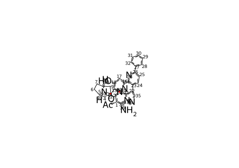 CC(=O)c1c([C@@H]2C[C@H]3CC[C@@H](C2)N3C(=O)c2cnccc2O)nc2c(-c3ccc(-c4ccccc4)nc3)cnn2c1N